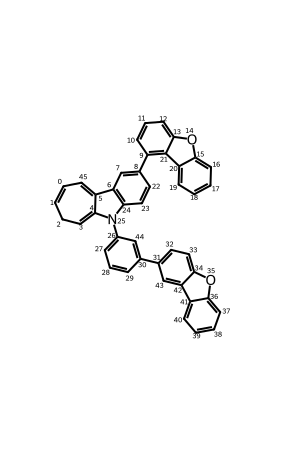 C1=CCC=c2c(c3cc(-c4cccc5oc6ccccc6c45)ccc3n2-c2cccc(-c3ccc4oc5ccccc5c4c3)c2)=C1